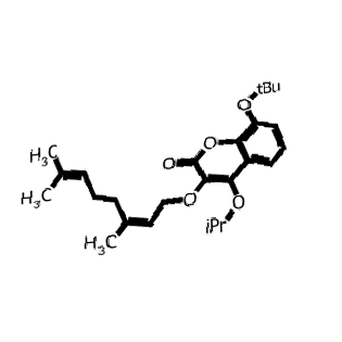 CC(C)=CCCC(C)=CCOc1c(OC(C)C)c2cccc(OC(C)(C)C)c2oc1=O